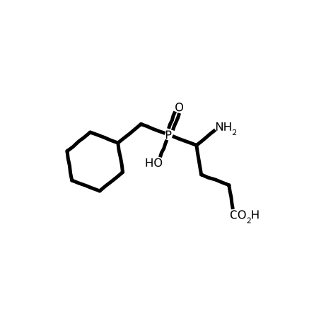 NC(CCC(=O)O)P(=O)(O)CC1CCCCC1